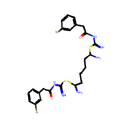 N=C(NC(=O)Cc1cccc(Br)c1)SC(N)CCCCC(N)SC(=N)NC(=O)Cc1cccc(Br)c1